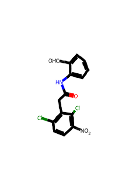 O=Cc1ccccc1NC(=O)Cc1c(Cl)ccc([N+](=O)[O-])c1Cl